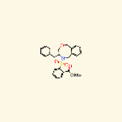 COC(=O)c1ccccc1S(=O)(=O)N1Cc2ccccc2COCC1Cc1ccccc1